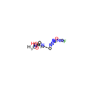 CN(C)C(=O)c1cc(-c2ccc(C#Cc3ccccc3CN3CCN(c4ccc(C(=O)NCc5ccc(F)cc5)nn4)CC3)cn2)c2ccccc2c1O